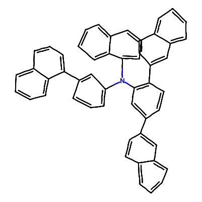 c1cc(-c2cccc3ccccc23)cc(N(c2cc(-c3ccc4ccccc4c3)ccc2-c2ccc3ccccc3c2)c2cccc3ccccc23)c1